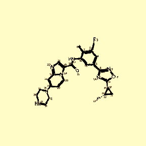 Cc1c(F)cc(-c2noc([C@H]3C[C@@H]3F)n2)cc1NC(=O)c1cnc2cc(N3CCNCC3)ccn12